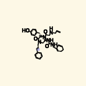 C=CCNCC(=O)N1[C@@H](NC(=O)NCC2=CCCC=C2)CN(C/C=C/c2ccccc2)C(=O)[C@@H]1Cc1ccc(O)cc1